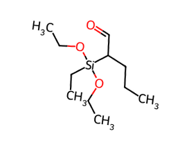 CCCC(C=O)[Si](CC)(OCC)OCC